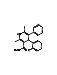 COC(=O)C1=C(C)NC(C)=C(c2cccnc2)C1c1ccccc1Cl